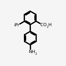 CC(C)c1cccc(C(=O)O)c1-c1ccc(N)cc1